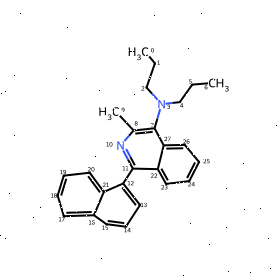 CCCN(CCC)c1c(C)nc(-c2cccc3ccccc23)c2ccccc12